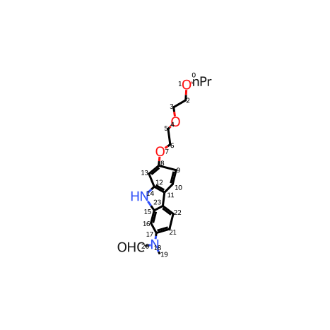 CCCOCCOCCOc1ccc2c(c1)[nH]c1cc(N(C)C=O)ccc12